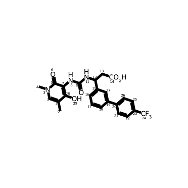 Cc1cn(C)c(=O)c(NC(=O)NC(CC(=O)O)c2cccc(-c3ccc(C(F)(F)F)cc3)c2)c1O